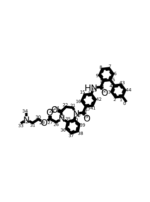 Cc1ccc(-c2ccccc2C(=O)Nc2ccc(C(=O)N3CCC(=O)N(CC(=O)OCCN(C)C)c4ccccc43)cc2)cc1